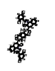 O=C(Nc1cc(Cl)c(NC(=O)C2=Cc3ccccc3/C(=N\Nc3cc(Cl)ccc3Cl)C2=O)cc1Cl)C1=Cc2ccccc2/C(=N/Nc2cc(Cl)ccc2Cl)C1=O